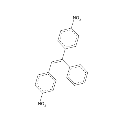 O=[N+]([O-])c1ccc(/C=C(\c2ccccc2)c2ccc([N+](=O)[O-])cc2)cc1